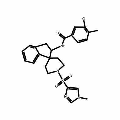 Cc1ccc(C(=O)NC2Cc3ccccc3C23CCN(S(=O)(=O)c2cn(C)cn2)CC3)cc1Cl